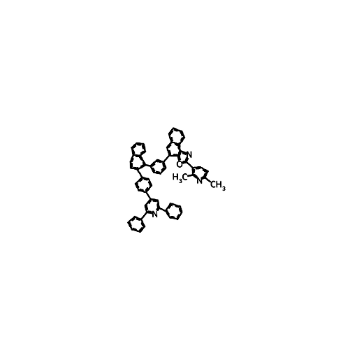 Cc1ccc(-c2nc3c(o2)c(-c2cccc(-c4c(-c5ccc(-c6cc(-c7ccccc7)nc(-c7ccccc7)c6)cc5)ccc5ccccc45)c2)cc2ccccc23)c(C)n1